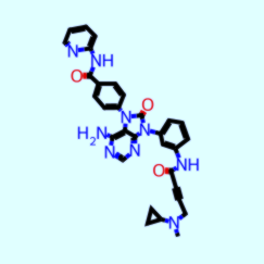 CN(CC#CC(=O)Nc1cccc(-n2c(=O)n(-c3ccc(C(=O)Nc4ccccn4)cc3)c3c(N)ncnc32)c1)C1CC1